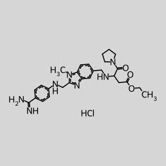 CCOC(=O)CC(NCc1ccc2c(c1)nc(CNc1ccc(C(=N)N)cc1)n2C)C(=O)N1CCCC1.Cl